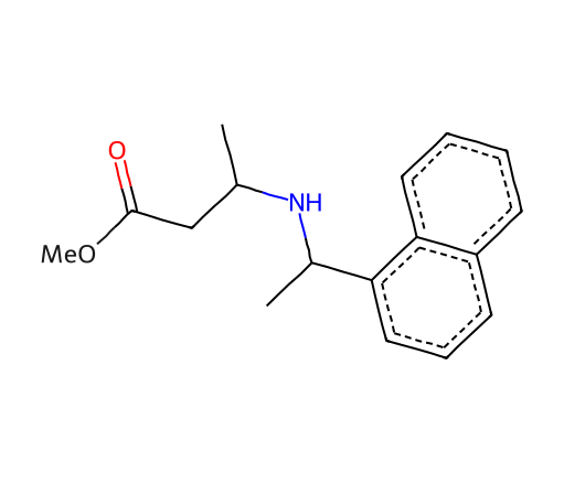 COC(=O)CC(C)NC(C)c1cccc2ccccc12